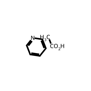 CC(=O)O.c1ccncc1